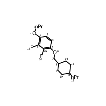 CCCOc1ccc(OCC2CCC(CCC)CC2)c(F)c1F